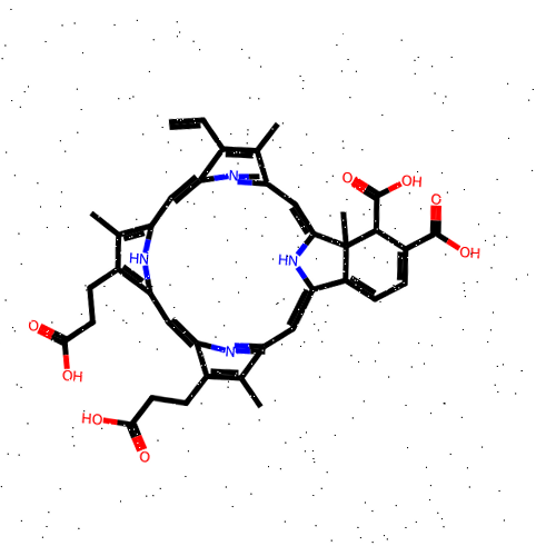 C=CC1=C(C)c2cc3[nH]c(cc4nc(cc5[nH]c(cc1n2)c(C)c5CCC(=O)O)C(CCC(=O)O)=C4C)C1=CC=C(C(=O)O)C(C(=O)O)C13C